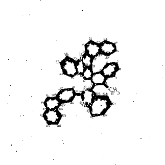 CC1c2ccccc2-c2c(cc3c4ccccc4n4c5ccc6ccccc6c5c2c34)C1c1nc(-c2ccc3ccc4ccccc4c3c2)nc2ccccc12